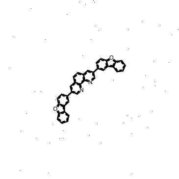 c1ccc2c(c1)oc1ccc(-c3cnc4c(ccc5cc(-c6ccc7oc8ccccc8c7c6)cnc54)c3)cc12